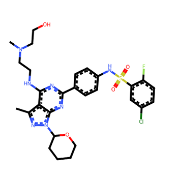 Cc1nn(C2CCCCO2)c2nc(-c3ccc(NS(=O)(=O)c4cc(Cl)ccc4F)cc3)nc(NCCN(C)CCO)c12